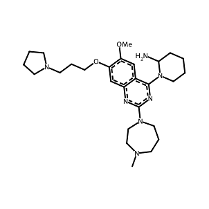 COc1cc2c(N3CCCCC3N)nc(N3CCCN(C)CC3)nc2cc1OCCCN1CCCC1